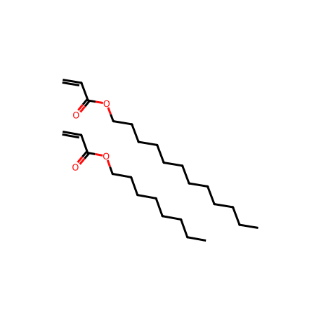 C=CC(=O)OCCCCCCCC.C=CC(=O)OCCCCCCCCCCCC